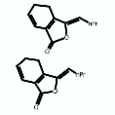 CCCC=C1OC(=O)C2=C1CCC=C2.CCCC=C1OC(=O)C2=C1CCC=C2